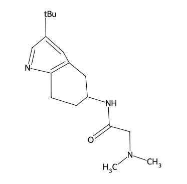 CN(C)CC(=O)NC1CCc2ncc(C(C)(C)C)cc2C1